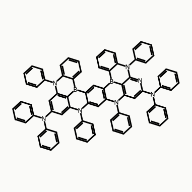 c1ccc(N(c2ccccc2)c2cc3c4c(c2)N(c2ccccc2)c2cc5c(cc2B4c2ccccc2N3c2ccccc2)B2c3ccccc3N(c3ccccc3)c3nc(N(c4ccccc4)c4ccccc4)cc(c32)N5c2ccccc2)cc1